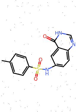 Cc1ccc(S(=O)(=O)Nc2ccc3nc[nH]c(=O)c3c2)cc1